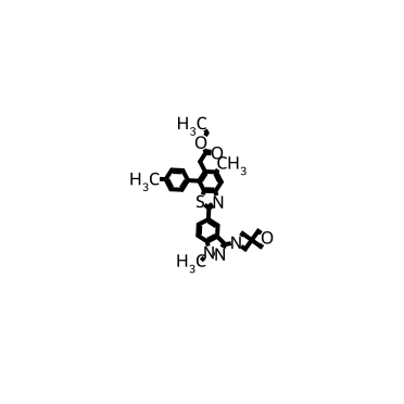 CCOC(=O)Cc1c(C)cc2nc(-c3ccc4c(c3)c(N3CC5(COC5)C3)nn4C)sc2c1-c1ccc(C)cc1